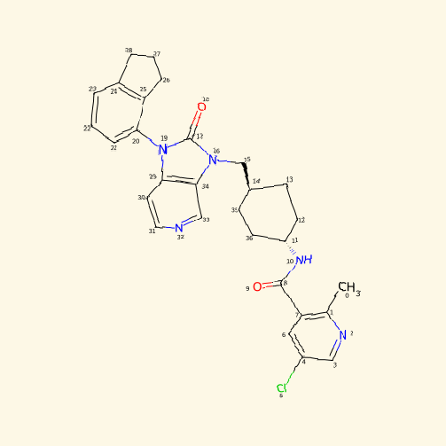 Cc1ncc(Cl)cc1C(=O)N[C@H]1CC[C@H](Cn2c(=O)n(-c3cccc4c3CCC4)c3ccncc32)CC1